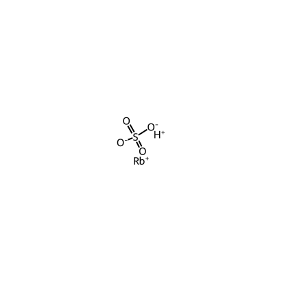 O=S(=O)([O-])[O-].[H+].[Rb+]